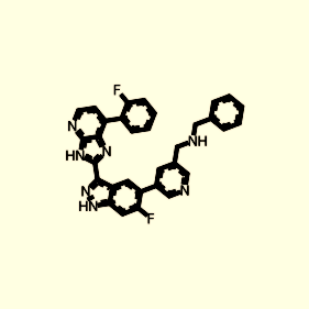 Fc1cc2[nH]nc(-c3nc4c(-c5ccccc5F)ccnc4[nH]3)c2cc1-c1cncc(CNCc2ccccc2)c1